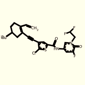 C=CC1=C(C#Cc2cc(C(=O)Nc3cc(F)c(=O)n(CC(F)F)c3)sc2Cl)CC(C(C)CC)CC1